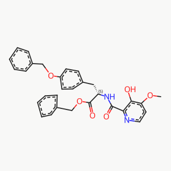 COc1ccnc(C(=O)N[C@@H](Cc2ccc(OCc3ccccc3)cc2)C(=O)OCc2ccccc2)c1O